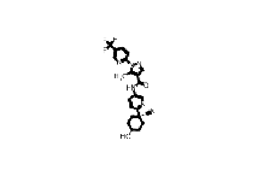 Cc1c(C(=O)Nc2ccc([C@]3(C#N)CC[C@@H](O)CC3)nc2)cnn1-c1ccc(C(F)(F)F)cn1